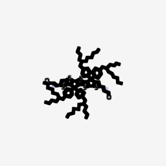 CCCCCCC(CCCC)Cc1ccc(C2(c3ccc(CC(CCCC)CCCCCC)cc3)c3cc(/C=C/C=O)sc3-c3sc4c5c(sc4c32)-c2sc3cc(/C=C/C=O)sc3c2C5(c2ccc(CC(CCCC)CCCCCC)cc2)c2ccc(CC(CCCC)CCCCCC)cc2)cc1